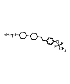 CCCCCCCC1CCC(C2CCC(CCc3ccc(OC(F)(F)C(F)(F)F)cc3)CC2)CC1